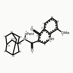 CCCCCN(C(=O)c1c[nH]c2c(OC)cccc2c1=O)C12CC3CC(CC(C3)C1)C2